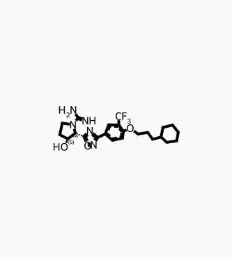 N=C(N)N1CC[C@H](O)[C@H]1c1nc(-c2ccc(OCCCC3CCCCC3)c(C(F)(F)F)c2)no1